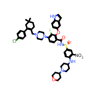 CC1(C)CCC(CN2CCN(c3ccc(C(=O)N[S+]([O-])c4ccc(NC5CCN(C6CCOCC6)CC5)c([N+](=O)[O-])c4)c(Oc4ccc5[nH]ccc5c4)c3F)CC2)=C(c2ccc(Cl)cc2)C1